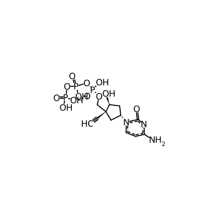 C#C[C@]1(COP(=O)(O)OP(=O)(O)OP(=O)(O)O)C[C@@H](n2ccc(N)nc2=O)C[C@@H]1O